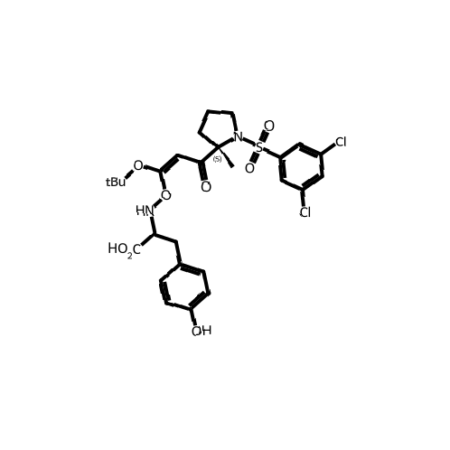 CC(C)(C)OC(=CC(=O)[C@]1(C)CCCN1S(=O)(=O)c1cc(Cl)cc(Cl)c1)ONC(Cc1ccc(O)cc1)C(=O)O